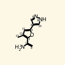 C=C(N)c1oc(-c2cn[nH]c2)cc1C